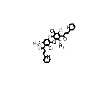 Cc1cc(Oc2cc(C)c(C(=O)C=Cc3ccccn3)c(Cl)c2Cl)c(Cl)c(Cl)c1C(=O)C=Cc1ccccn1